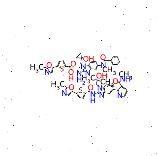 CN(C(=O)c1ccccc1)c1ccc2c(c1)nc(N)n2CC1(O)CC1.CNC(=O)c1cccnc1-c1ccc2c(c1)nc(NC(=O)c1ccc(-c3cnc(C)o3)s1)n2CC(C)(C)O.Cc1ncc(-c2ccc(C(=O)O)s2)o1